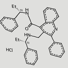 CC[C@H](NCc1c(-c2ccccc2)nc2ccccc2c1C(=O)N[C@@H](CC)c1ccccc1)c1ccccc1.Cl